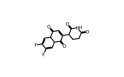 O=C1CCC(C2=CC(=O)C3C=C(F)C(F)=CC3C2=O)C(=O)N1